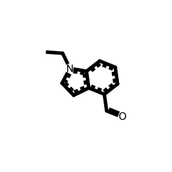 CCn1ccc2c(C=O)cccc21